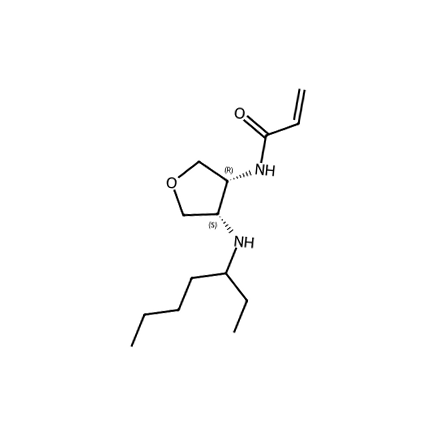 C=CC(=O)N[C@H]1COC[C@H]1NC(CC)CCCC